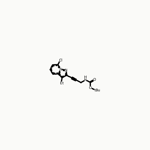 CCc1c(C#CCNC(=O)OC(C)(C)C)nn2c(Cl)cccc12